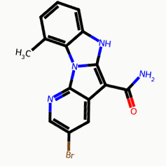 Cc1cccc2[nH]c3c(C(N)=O)c4cc(Br)cnc4n3c12